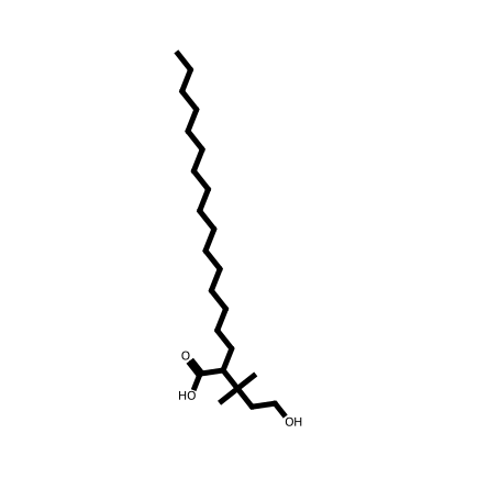 CCCCCCCCCCCCCCCCC(C(=O)O)C(C)(C)CCO